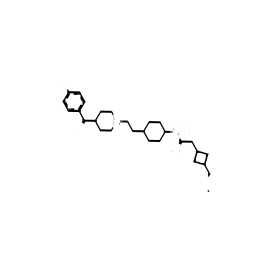 COCC1CC(CC(=O)NC2CCC(CCN3CCC(C(=O)c4ccc(F)cc4)CC3)CC2)C1